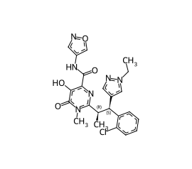 CCn1cc([C@@H](c2ccccc2Cl)[C@@H](C)c2nc(C(=O)Nc3cnoc3)c(O)c(=O)n2C)cn1